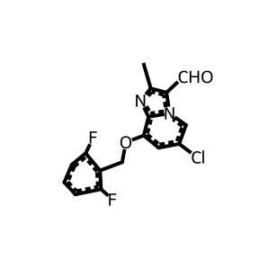 Cc1nc2c(OCc3c(F)cccc3F)cc(Cl)cn2c1C=O